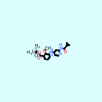 COc1c(Nc2ccnc(NC(=O)C3CC3)c2)cccc1C(=O)OC(C)(C)C